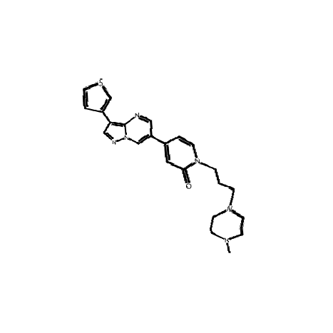 CN1CCN(CCCn2ccc(-c3cnc4c(-c5ccsc5)cnn4c3)cc2=O)CC1